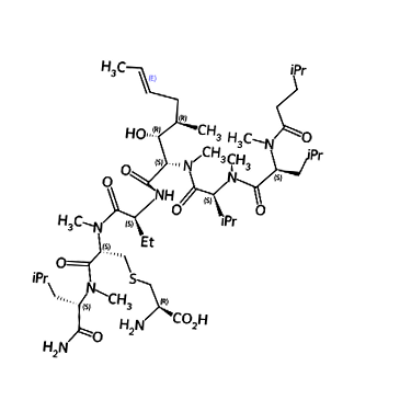 C/C=C/C[C@@H](C)[C@@H](O)[C@@H](C(=O)N[C@@H](CC)C(=O)N(C)[C@H](CSC[C@H](N)C(=O)O)C(=O)N(C)[C@@H](CC(C)C)C(N)=O)N(C)C(=O)[C@H](C(C)C)N(C)C(=O)[C@H](CC(C)C)N(C)C(=O)CCC(C)C